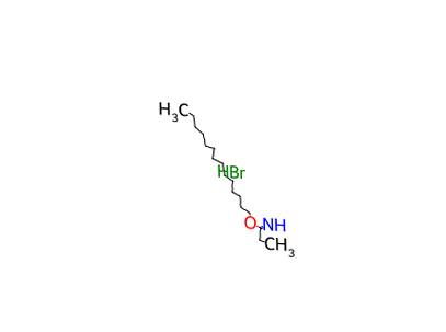 Br.CCCCCCCCCCCCCCOC(=N)CC